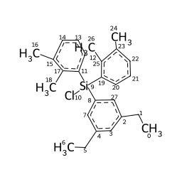 CCc1cc(CC)cc([Si](Cl)(c2cccc(C)c2C)c2cccc(C)c2C)c1